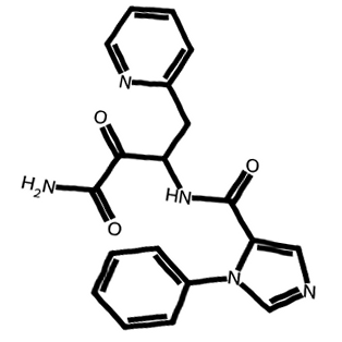 NC(=O)C(=O)C(Cc1ccccn1)NC(=O)c1cncn1-c1ccccc1